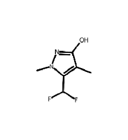 Cc1c(O)nn(C)c1C(F)F